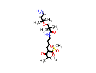 CC(C)C(=O)C(CCCCNC(=O)C(C)(C)COC(C)(C)CCN)C(=O)S(C)(=O)=O